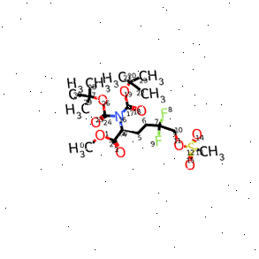 COC(=O)[C@H](CCC(F)(F)COS(C)(=O)=O)N(C(=O)OC(C)(C)C)C(=O)OC(C)(C)C